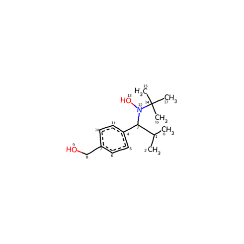 CC(C)C(c1ccc(CO)cc1)N(O)C(C)(C)C